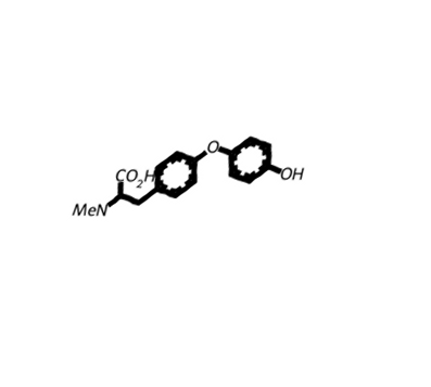 CNC(Cc1ccc(Oc2ccc(O)cc2)cc1)C(=O)O